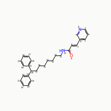 O=C(/C=C/c1cccnc1)NCCCCCCCC(c1ccccc1)c1ccccc1